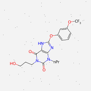 CCCn1c(=O)n(CCCO)c(=O)c2[nH]c(Oc3cccc(OC(F)(F)F)c3)nc21